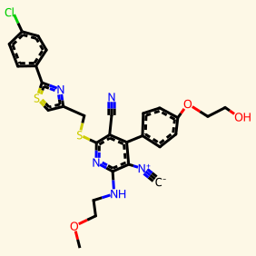 [C-]#[N+]c1c(NCCOC)nc(SCc2csc(-c3ccc(Cl)cc3)n2)c(C#N)c1-c1ccc(OCCO)cc1